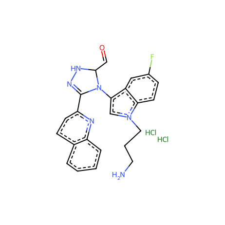 Cl.Cl.NCCCn1cc(N2C(c3ccc4ccccc4n3)=NNC2C=O)c2cc(F)ccc21